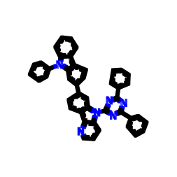 c1ccc(-c2nc(-c3ccccc3)nc(-n3c4cc(-c5ccc6c7ccccc7n(-c7ccccc7)c6c5)ccc4c4ncccc43)n2)cc1